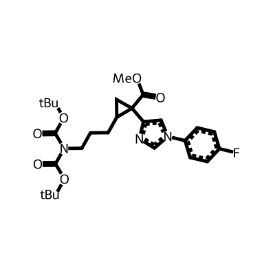 COC(=O)C1(c2cn(-c3ccc(F)cc3)cn2)CC1CCCN(C(=O)OC(C)(C)C)C(=O)OC(C)(C)C